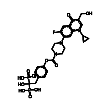 O=C(Oc1ccc(CC(O)(P(=O)(O)O)P(=O)(O)O)cc1)N1CCN(c2cc3c(cc2F)c(=O)c(CO)cn3C2CC2)CC1